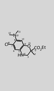 CCOC(=O)C1(C)CNc2cc(Cl)c(N(C)C)cc2O1